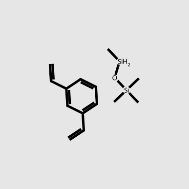 C=Cc1cccc(C=C)c1.C[SiH2]O[Si](C)(C)C